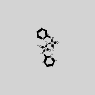 [O]=[Cr](=[O])([O]c1ccccn1)[O][Cr](=[O])(=[O])[O]c1ccccn1